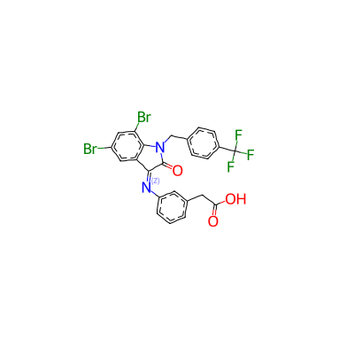 O=C(O)Cc1cccc(/N=C2\C(=O)N(Cc3ccc(C(F)(F)F)cc3)c3c(Br)cc(Br)cc32)c1